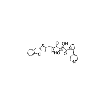 O=C(NCc1ccc(Cc2ccccc2Cl)s1)[C@H](O)[C@@H](O)C(=O)N1CCCC1c1ccncc1